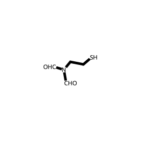 O=CN(C=O)CCS